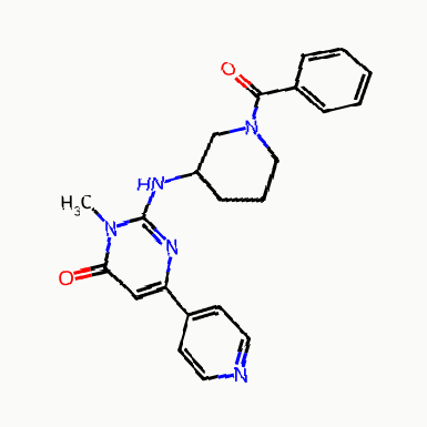 Cn1c(NC2CCCN(C(=O)c3ccccc3)C2)nc(-c2ccncc2)cc1=O